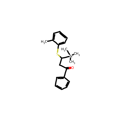 Cc1ccccc1SC(CC(=O)c1ccccc1)[Si](C)(C)C